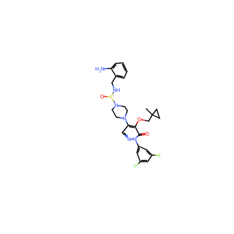 CC1(COc2c(N3CCN([S+]([O-])NCc4ccccc4N)CC3)cnn(-c3cc(F)cc(F)c3)c2=O)CC1